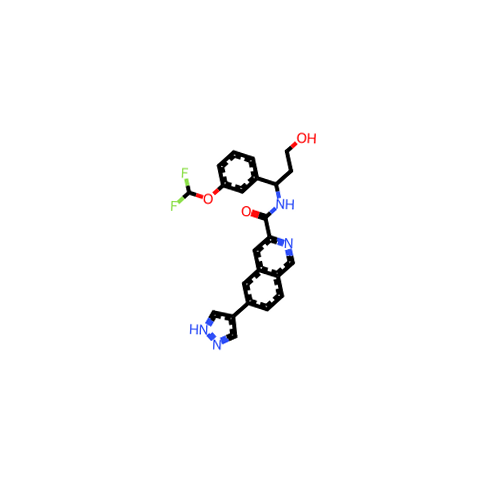 O=C(NC(CCO)c1cccc(OC(F)F)c1)c1cc2cc(-c3cn[nH]c3)ccc2cn1